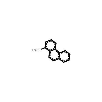 CCOC(=O)c1cccc2c1ccc1ccccc12